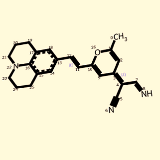 CC1=C/C(=C(/C#N)C=N)C=C(/C=C/c2cc3c4c(c2)CCCN4CCC3)O1